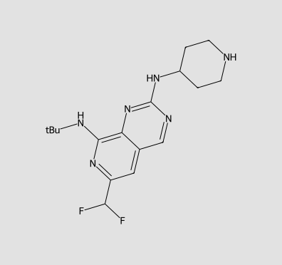 CC(C)(C)Nc1nc(C(F)F)cc2cnc(NC3CCNCC3)nc12